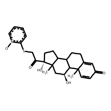 CC12C=CC(=O)C=C1CCC1C2[C@@H](O)CC2(C)C1CC[C@]2(O)C(=O)CSc1cccc[n+]1[O-]